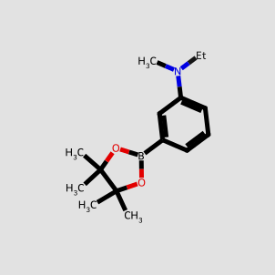 CCN(C)c1cccc(B2OC(C)(C)C(C)(C)O2)c1